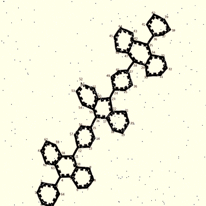 c1ccc(-c2c3ccccc3c(-c3ccc(-c4c5ccccc5c(-c5ccc(-c6c7ccccc7c(-c7ccccc7)c7ccccc67)cc5)c5cnccc45)cc3)c3ccccc23)cc1